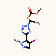 CC(C)OC(=O)OC(C)n1nnc(-c2c(I)cnn2C)n1